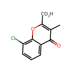 Cc1c(C(=O)O)oc2c(Cl)cccc2c1=O